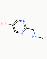 Bc1cnc(CNC(C)C)nc1